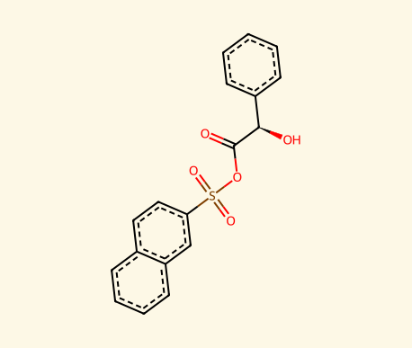 O=C(OS(=O)(=O)c1ccc2ccccc2c1)[C@H](O)c1ccccc1